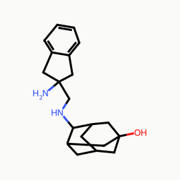 NC1(CNC2C3CC4CC2CC(O)(C4)C3)Cc2ccccc2C1